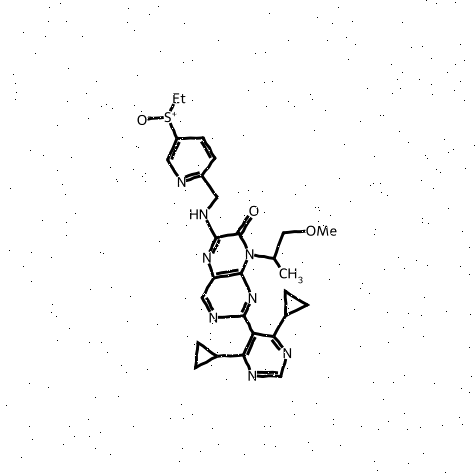 CC[S+]([O-])c1ccc(CNc2nc3cnc(-c4c(C5CC5)ncnc4C4CC4)nc3n(C(C)COC)c2=O)nc1